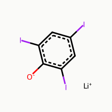 [Li+].[O-]c1c(I)cc(I)cc1I